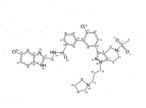 CS(=O)(=O)N1CCc2c(c(-c3ccc(Cl)c(-c4cccc(C(=O)NCc5nc6cc(Cl)ccc6[nH]5)c4)c3)nn2CCCN2CCCC2)C1